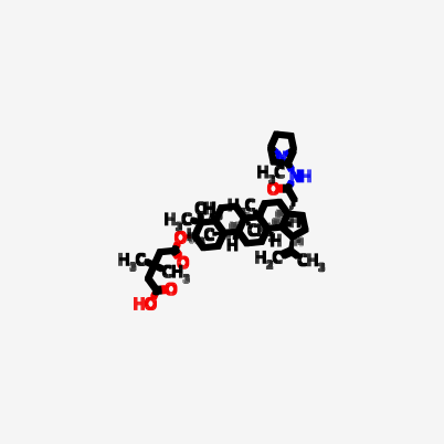 C=C(C)[C@@H]1CC[C@]2(CC(=O)NC3CC4CCC3N4C)CC[C@]3(C)[C@H](CC[C@@H]4[C@@]5(C)CC[C@H](OC(=O)CC(C)(C)CC(=O)O)C(C)(C)[C@@H]5CC[C@]43C)[C@@H]12